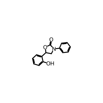 O=C1OC(c2ccccc2O)CN1c1ccccc1